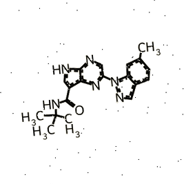 Cc1ccc2cnn(-c3cnc4[nH]cc(C(=O)NC(C)(C)C)c4n3)c2c1